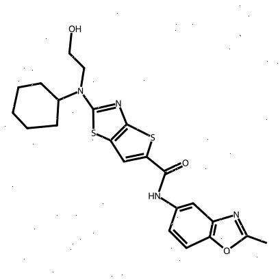 Cc1nc2cc(NC(=O)c3cc4sc(N(CCO)C5CCCCC5)nc4s3)ccc2o1